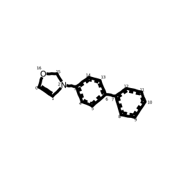 C1=CN(c2ccc(-c3ccccc3)cc2)CO1